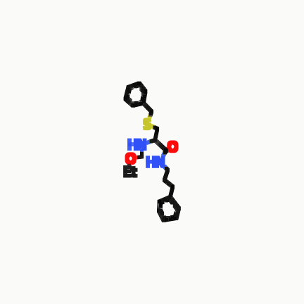 CCOCNC(CSCc1ccccc1)C(=O)NCCCc1ccccc1